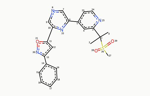 CC(C)(c1cc(-c2cncc(-c3cc(-c4ccccc4)no3)n2)ccn1)S(C)(=O)=O